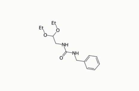 CCOC(CNC(=O)NCc1ccccc1)OCC